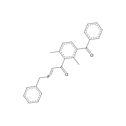 Cc1ccc(C(=O)c2ccccc2)c(C)c1C(=O)C=PCc1ccccc1